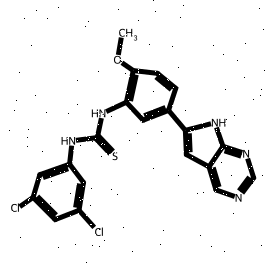 COc1ccc(-c2cc3cncnc3[nH]2)cc1NC(=S)Nc1cc(Cl)cc(Cl)c1